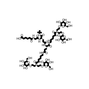 CC(C)(C)OC(=O)[C@H](CCC(=O)N[C@@H](CCC(=O)NCCCCCC(=O)N(CCO[C@H]1O[C@H](CO)[C@@H](O)[C@H](O)[C@@H]1O)CCO[C@H]1O[C@H](CO)[C@@H](O)[C@H](O)[C@@H]1O)C(=O)NCCCCCC(=O)N(CCO[C@H]1O[C@H](CO)[C@@H](O)[C@H](O)[C@@H]1O)CCO[C@H]1O[C@H](CO)[C@@H](O)[C@H](O)[C@@H]1O)NC(=O)CNC(=O)CCCCC(=O)O